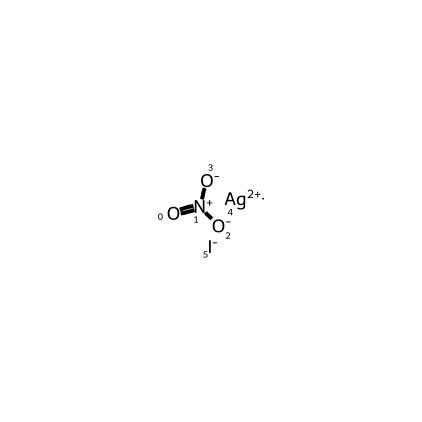 O=[N+]([O-])[O-].[Ag+2].[I-]